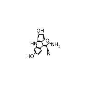 N#CC(C(N)=O)=C1c2ccc(O)cc2Nc2cc(O)ccc21